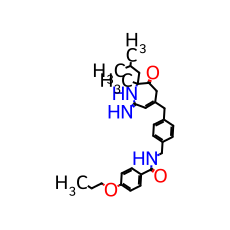 CCCOc1ccc(C(=O)NCc2ccc(CC3=CC(=N)NC(C)(CC(C)C)C(=O)C3)cc2)cc1